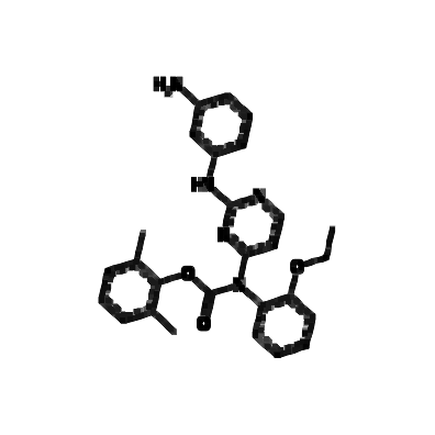 CCOc1ccccc1N(C(=O)Oc1c(C)cccc1C)c1ccnc(Nc2cccc(N)c2)n1